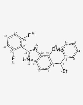 CCC(c1ccccc1)c1ccc2[nH]c(-c3c(F)cccc3F)nc2c1OC